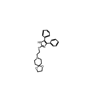 c1ccc(-c2nc(SCCN3CCC4(CC3)OCCO4)[nH]c2-c2ccccc2)cc1